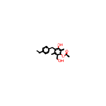 CCc1ccc(Cc2c(C)c(CO)c(OC(C)=O)c(C)c2O)cc1